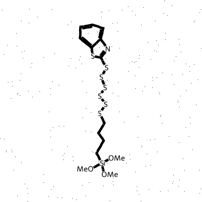 CO[Si](CCCCSSSSSSc1nc2ccccc2s1)(OC)OC